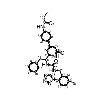 COC(=O)Nc1ccc(-c2cc(C(Cc3ccccc3)NC(=O)NCc3cc(C)ccc3-n3cnnn3)[nH]c(=O)c2)cc1